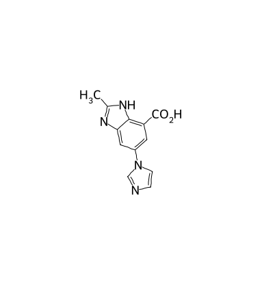 Cc1nc2cc(-n3ccnc3)cc(C(=O)O)c2[nH]1